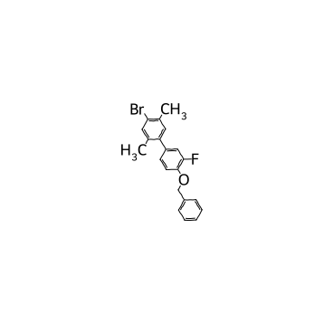 Cc1cc(-c2ccc(OCc3ccccc3)c(F)c2)c(C)cc1Br